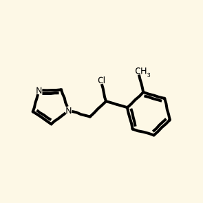 Cc1ccccc1C(Cl)Cn1ccnc1